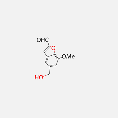 COc1cc(CO)cc2cc(C=O)oc12